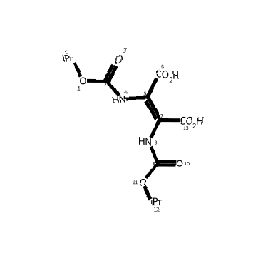 CC(C)OC(=O)N/C(C(=O)O)=C(\NC(=O)OC(C)C)C(=O)O